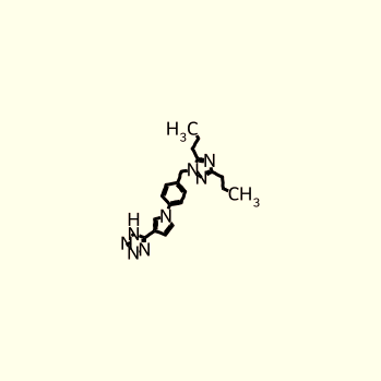 CCCc1nc(CCC)n(Cc2ccc(-n3ccc(-c4nnn[nH]4)c3)cc2)n1